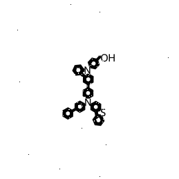 OCc1ccc(-n2c3ccccc3c3cc(-c4ccc(N(c5ccc(-c6ccccc6)cc5)c5ccc6sc7ccccc7c6c5)cc4)ccc32)cc1